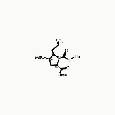 C=CCC1[C@H](OC)C[C@@H](C(=O)OC)N1C(=O)OC(C)(C)C